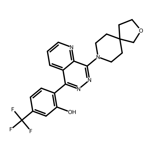 Oc1cc(C(F)(F)F)ccc1-c1nnc(N2CCC3(CCOC3)CC2)c2ncccc12